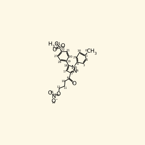 Cc1ccc(-n2nc(C(=O)CCCO[N+](=O)[O-])cc2-c2ccc(S(C)(=O)=O)cc2)cc1